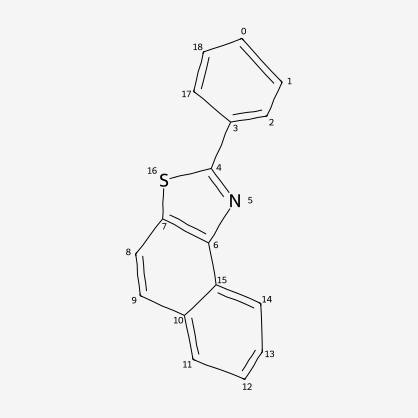 c1ccc(-c2nc3c(ccc4ccccc43)s2)cc1